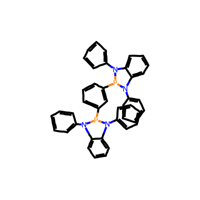 c1ccc(N2c3ccccc3N(c3ccccc3)P2c2cccc(P3N(c4ccccc4)c4ccccc4N3c3ccccc3)c2)cc1